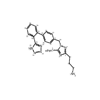 CCCCCc1nc(CCCN)nn1Cc1ccc(-c2ccccc2-c2nnn[nH]2)cc1